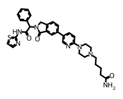 NC(=O)CCCCN1CCN(c2ccc(-c3ccc4c(c3)C(=O)N(C(C(=O)Nc3nccs3)c3ccccc3)C4)cn2)CC1